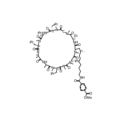 CC[C@@H]1NC(=O)C(C[C@H](C)CCCCCCCNC(=O)c2ccc(C(=O)OC)cc2)N(C)C(=O)[C@H](C(C)C)N(C)C(=O)N(C)C(=O)[C@@H](CC(C)C)N(C)C(=O)C(C)NC(=O)[C@@H](C)NC(=O)[C@@H](CC(C)C)N(C)C(=O)[C@@H](C(C)C)NC(=O)[C@H](CC(C)C)N(C)C(=O)CN(C)C1=O